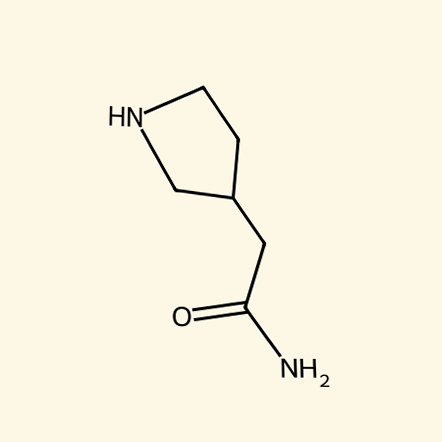 NC(=O)CC1CCNC1